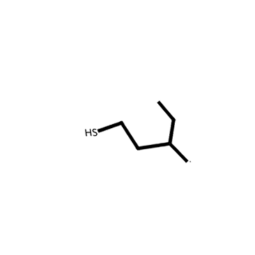 [CH2]C(CC)CCS